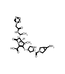 CC(NC(=O)Cn1cnnn1)[C@H]1C(=O)N2C(C(=O)O)=C(S[C@@H]3CN[C@H](C(=O)N4CC5C(N)C5C4)C3)[C@H](C)[C@H]12